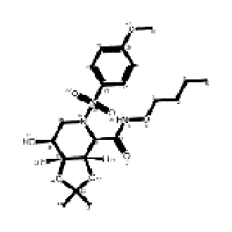 CCCCONC(=O)[C@H]1[C@@H]2OC(C)(C)O[C@@H]2[C@@H](O)CN1S(=O)(=O)c1ccc(OC)cc1